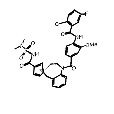 COc1cc(C(=O)N2CC[C@@]3(C=CC(C(=O)NS(=O)(=O)N(C)C)=C3)Cc3ccccc32)ccc1NC(=O)c1cc(F)ccc1Cl